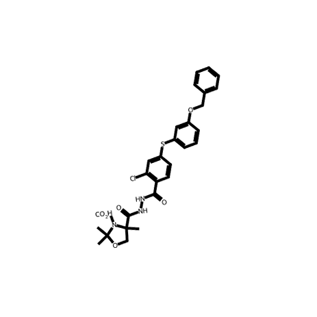 CC1(C)OCC(C)(C(=O)NNC(=O)c2ccc(Sc3cccc(OCc4ccccc4)c3)cc2Cl)N1C(=O)O